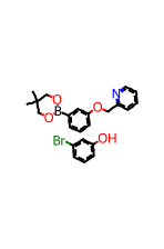 CC1(C)COB(c2cccc(OCc3ccccn3)c2)OC1.Oc1cccc(Br)c1